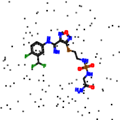 N=C(Nc1ccc(F)c(C(F)F)c1)c1nonc1SCCNS(=O)(=O)NCC(N)=O